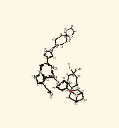 N#Cc1cnn2cc(-c3cnn(C4CCC5(CC4)OCCO5)c3)nc(-c3ccc(N4CC5CC(C4)N5CC4CCC(F)(F)CC4)nc3)c12